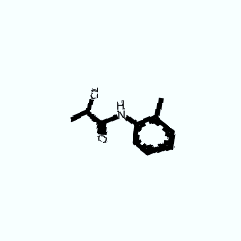 Cc1ccccc1NC(=O)C(C)Cl